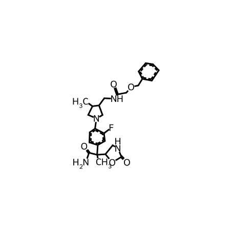 CC1CN(c2ccc(C(C)(C(N)=O)C3CNC(=O)O3)cc2F)CC1CNC(=O)COCc1ccccc1